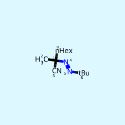 CCCCCCC(C)(C#N)N=NC(C)(C)C